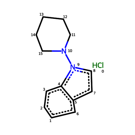 Cl.c1ccc2c(c1)ccn2N1CCCCC1